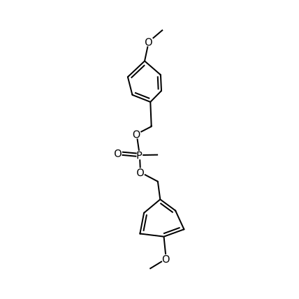 COc1ccc(COP(C)(=O)OCc2ccc(OC)cc2)cc1